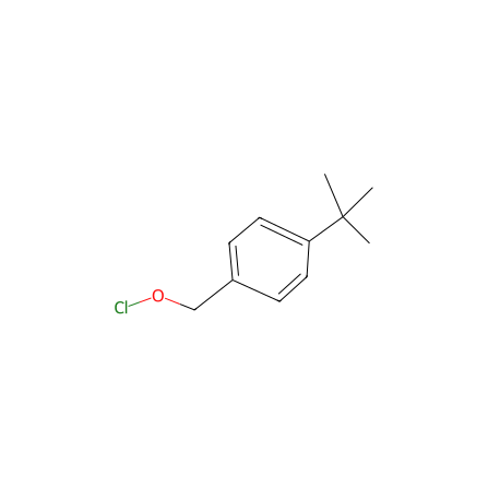 CC(C)(C)c1ccc(COCl)cc1